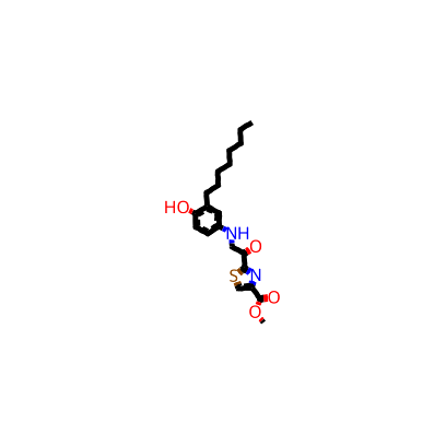 CCCCCCCCc1cc(NCC(=O)c2nc(C(=O)OC)cs2)ccc1O